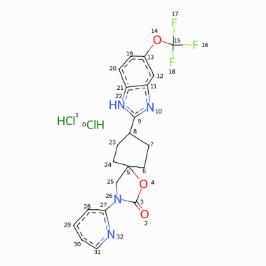 Cl.Cl.O=C1OC2(CCC(c3nc4cc(OC(F)(F)F)ccc4[nH]3)CC2)CN1c1ccccn1